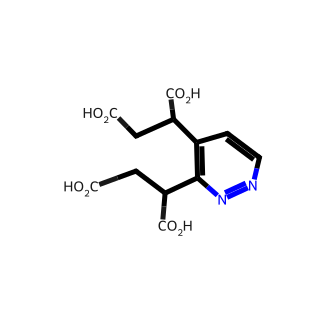 O=C(O)CC(C(=O)O)c1ccnnc1C(CC(=O)O)C(=O)O